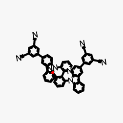 N#Cc1cc(C#N)cc(-c2ccc3c(c2)c2ccccc2n3-c2cccnc2-c2c(C#N)cccc2-n2c3ccccc3c3cc(-c4cc(C#N)cc(C#N)c4)ccc32)c1